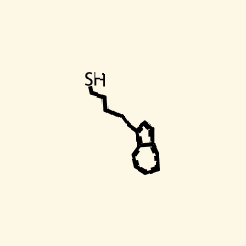 SCCCCCc1ccc2cccccc1-2